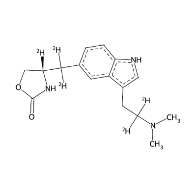 [2H]C([2H])(Cc1c[nH]c2ccc(C([2H])([2H])[C@@]3([2H])COC(=O)N3)cc12)N(C)C